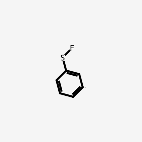 FSc1c[c]ccc1